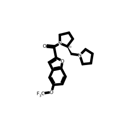 O=C(c1cc2cc(OC(F)(F)F)ccc2o1)N1CCC[C@H]1CN1CCCC1